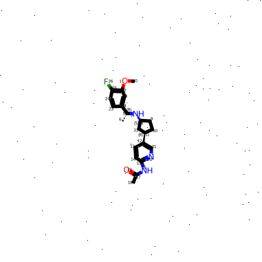 COc1cc([C@@H](C)N[C@H]2CC[C@@H](c3ccc(NC(C)=O)nc3)C2)ccc1F